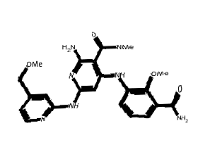 CNC(=O)c1c(Nc2cccc(C(N)=O)c2OC)cc(Nc2cc(COC)ccn2)nc1N